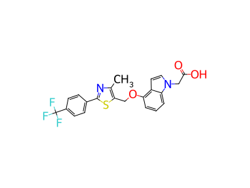 Cc1nc(-c2ccc(C(F)(F)F)cc2)sc1COc1cccc2c1ccn2CC(=O)O